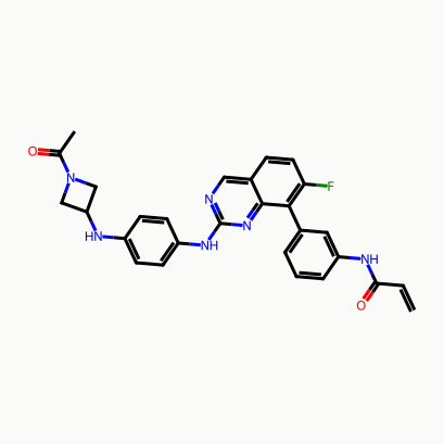 C=CC(=O)Nc1cccc(-c2c(F)ccc3cnc(Nc4ccc(NC5CN(C(C)=O)C5)cc4)nc23)c1